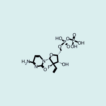 C=C[C@@]1(F)[C@@H](O)[C@@H](COP(=O)(O)OP(=O)(O)O)O[C@H]1n1ccc(N)nc1=O